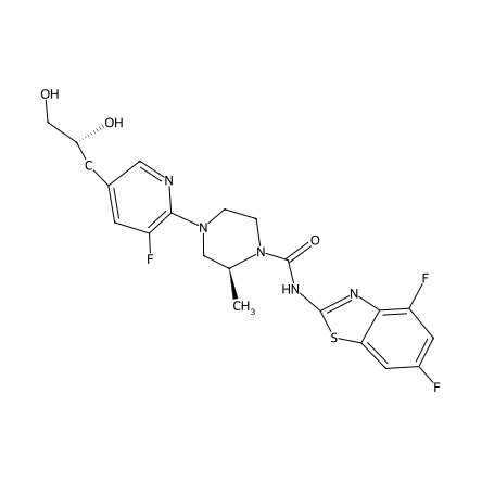 C[C@H]1CN(c2ncc(C[C@@H](O)CO)cc2F)CCN1C(=O)Nc1nc2c(F)cc(F)cc2s1